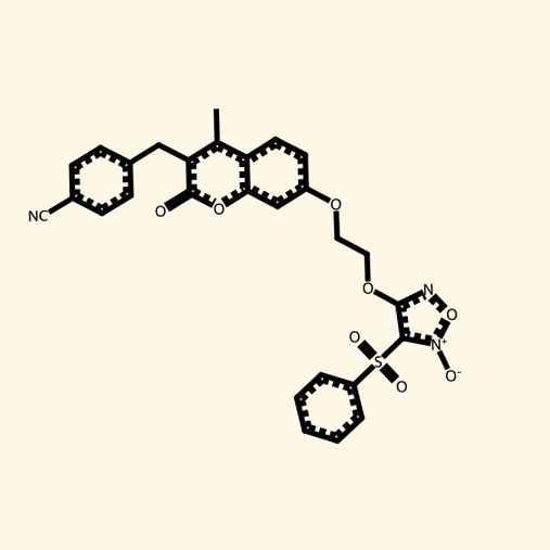 Cc1c(Cc2ccc(C#N)cc2)c(=O)oc2cc(OCCOc3no[n+]([O-])c3S(=O)(=O)c3ccccc3)ccc12